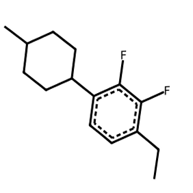 CCc1ccc(C2CCC(C)CC2)c(F)c1F